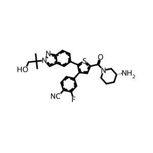 CC(C)(CO)n1cc2cc(-c3sc(C(=O)N4CCC[C@@H](N)C4)cc3-c3ccc(C#N)c(F)c3)ccc2n1